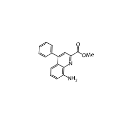 COC(=O)c1cc(-c2ccccc2)c2cccc(N)c2n1